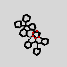 c1ccc(-c2c(-c3ccccc3N(c3ccccc3)c3cccc4c3-c3ccccc3C4(c3ccccc3)c3ccccc3)c3ccccc3c3ccccc23)cc1